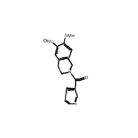 COc1cc2c(cc1C=O)CCN(C(=O)c1cccnc1)C2